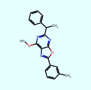 CCCOc1nc(C(C)c2ccccc2)nc2oc(-c3cccc(C)c3)nc12